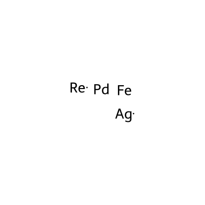 [Ag].[Fe].[Pd].[Re]